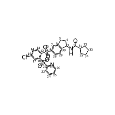 O=C(NC1CCc2cc(S(=O)(=O)c3ccc(Cl)cc3S(=O)(=O)c3ccccn3)ccc21)C1CCCC1